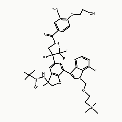 COc1cc(C(=O)NCC(O)(c2cc3c(c(-c4cn(COCC[Si](C)(C)C)c5c(F)cccc45)n2)OCC3(C)N[S+]([O-])C(C)(C)C)C(F)(F)F)ccc1OCCO